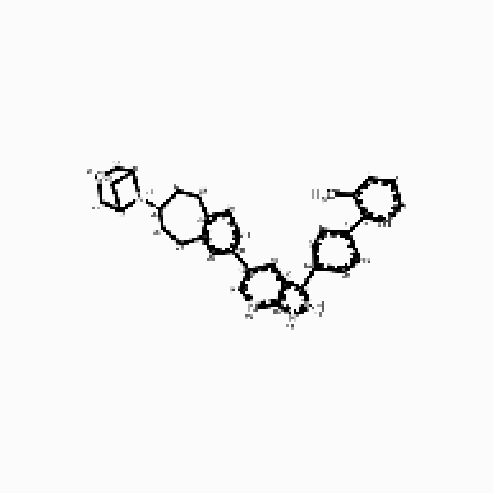 Cc1cccnc1-c1ccc(-c2[nH]nc3ncc(-c4ccc5c(c4)CC[C@@H](N4C6COCC4C6)CC5)cc23)cc1